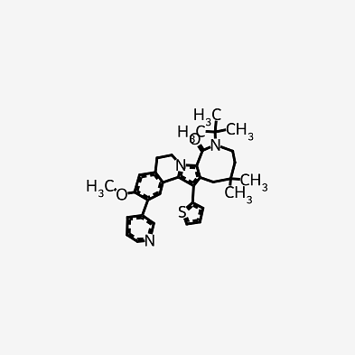 COc1cc2c(cc1-c1cccnc1)-c1c(-c3cccs3)c3c(n1CC2)C(=O)N(C(C)(C)C)CCC(C)(C)C3